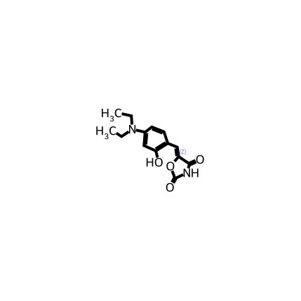 CCN(CC)c1ccc(/C=C2\OC(=O)NC2=O)c(O)c1